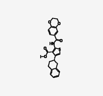 O=C(Nc1scc(C2CCc3ccccc3C2)c1C(=O)OI)c1ccc2c(c1)OCCO2